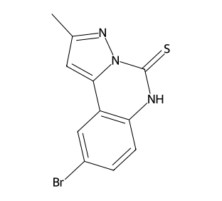 Cc1cc2c3cc(Br)ccc3[nH]c(=S)n2n1